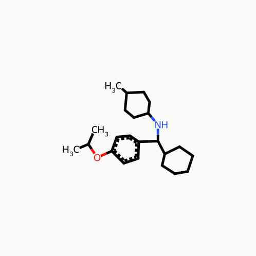 CC1CCC(NC(c2ccc(OC(C)C)cc2)C2CCCCC2)CC1